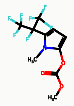 COC(=O)Oc1ccc(C(F)(C(F)(F)F)C(F)(F)F)n1C